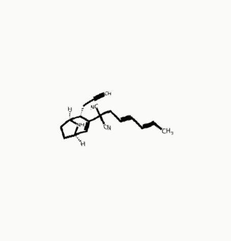 C#CC[C@@H]1C(C(C#N)(C#N)C/C=C/C=C/C)=C[C@H]2CC[C@@H]1N2